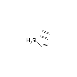 C=C.C=C.C=C[SiH3]